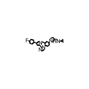 Fc1ccc(-c2cc3n(c2)Cc2cc(N4CC[C@@H](CNC5CC5)C4)ccc2-n2ccnc2-3)cc1